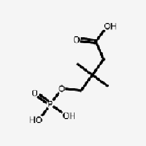 CC(C)(COP(=O)(O)O)CC(=O)O